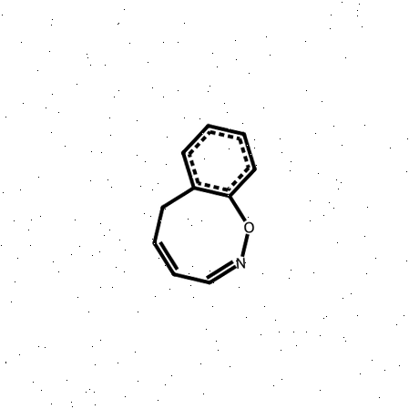 C1=C\Cc2ccccc2O\N=C/1